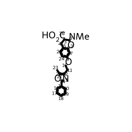 CNC(=O)C(Cc1ccc(OCCc2nc(-c3ccccc3)oc2C)cc1)C(=O)O